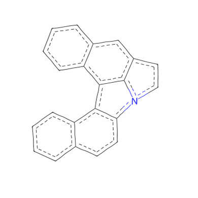 c1ccc2c(c1)ccc1c2c2c3ccccc3cc3ccn1c32